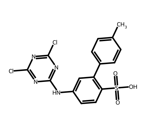 Cc1ccc(-c2cc(Nc3nc(Cl)nc(Cl)n3)ccc2S(=O)(=O)O)cc1